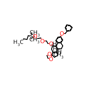 CCCC[Si](C)(C)OCCOCCO[C@H]1C[C@@]2(C)[C@@H](CCC23OCCO3)[C@@H]2CCc3cc(OCc4ccccc4)ccc3[C@H]21